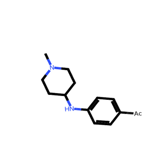 CC(=O)c1ccc(NC2CCN(C)CC2)cc1